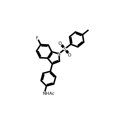 CC(=O)Nc1ccc(-c2cn(S(=O)(=O)c3ccc(C)cc3)c3cc(F)ccc23)cc1